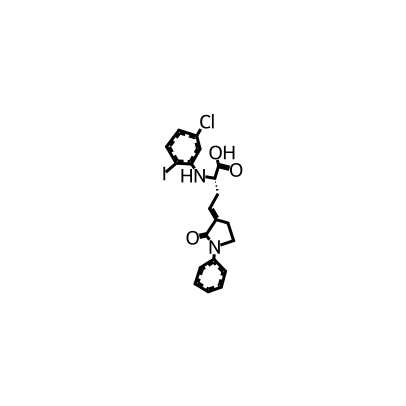 O=C(O)[C@H](C/C=C1\CCN(c2ccccc2)C1=O)Nc1cc(Cl)ccc1I